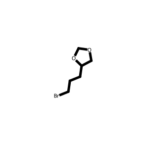 BrCCCC1COCO1